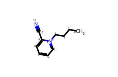 CCCC[n+]1ccccc1C#N